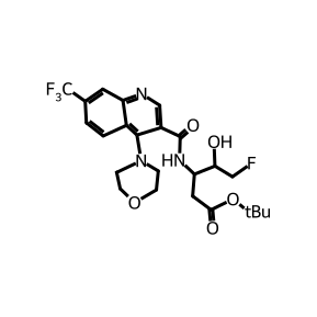 CC(C)(C)OC(=O)CC(NC(=O)c1cnc2cc(C(F)(F)F)ccc2c1N1CCOCC1)C(O)CF